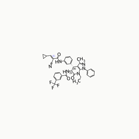 CCN1C(=O)[C@@H](NC(=O)c2cccc(C(F)(F)F)c2)[C@H](c2cccc(NC(=O)/C(C#N)=C/C3CC3)c2)c2c(C)nn(-c3ccccc3)c21